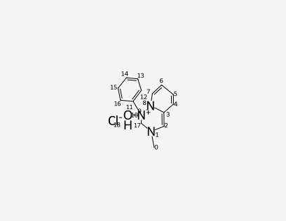 CN1C=C2C=CC=CN2[N+](O)(c2ccccc2)C1.[Cl-]